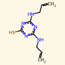 C=CCNc1nc(S)nc(NCC=C)n1